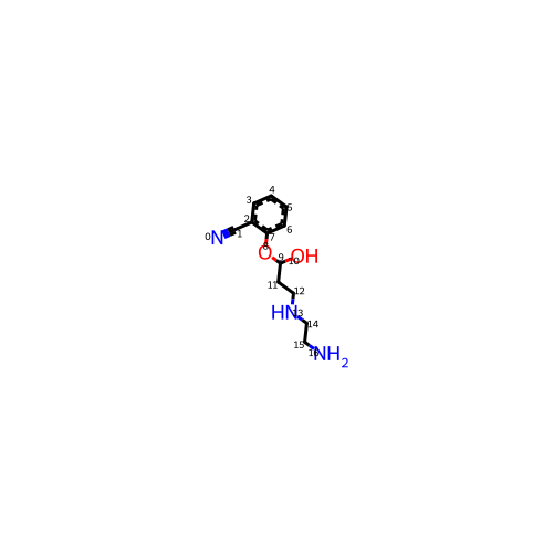 N#Cc1ccccc1OC(O)CCNCCN